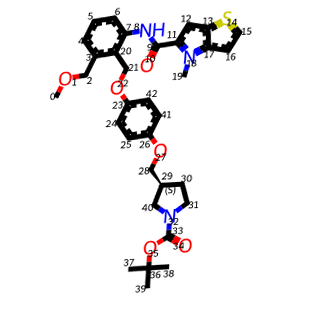 COCc1cccc(NC(=O)c2cc3sccc3n2C)c1COc1ccc(OC[C@H]2CCN(C(=O)OC(C)(C)C)C2)cc1